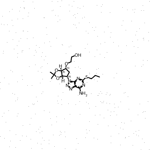 CCCSc1nc(N)c2nnn([C@@H]3C[C@H](OCCO)[C@H]4OC(C)(C)O[C@H]43)c2n1